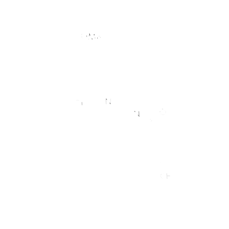 CCC(c1ccc(OC)c(C)c1C)N1CCN(C(=O)c2ccc(C(F)(F)F)cc2)CC1